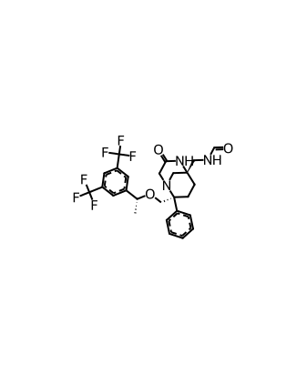 C[C@@H](OC[C@@]1(c2ccccc2)CC[C@]2(CNC=O)CN1CC(=O)N2)c1cc(C(F)(F)F)cc(C(F)(F)F)c1